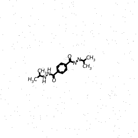 CC(C)N=NC(=O)c1ccc(C(=O)NNC(C)C)cc1